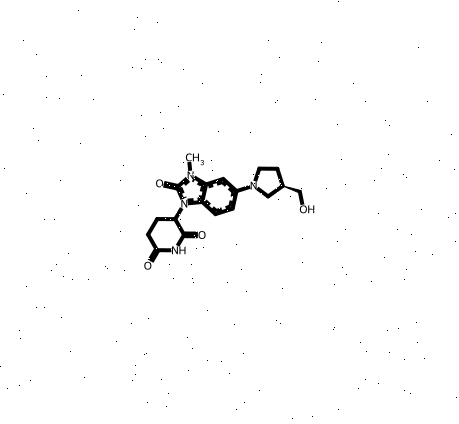 Cn1c(=O)n(C2CCC(=O)NC2=O)c2ccc(N3CC[C@@H](CO)C3)cc21